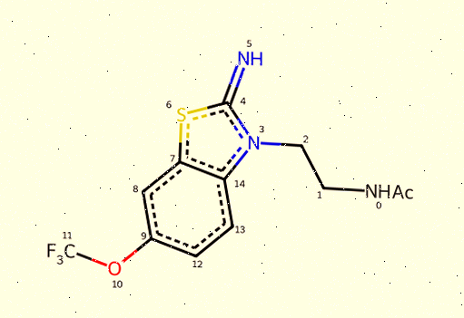 CC(=O)NCCn1c(=N)sc2cc(OC(F)(F)F)ccc21